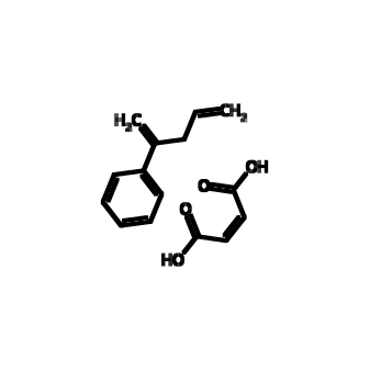 C=CCC(=C)c1ccccc1.O=C(O)/C=C\C(=O)O